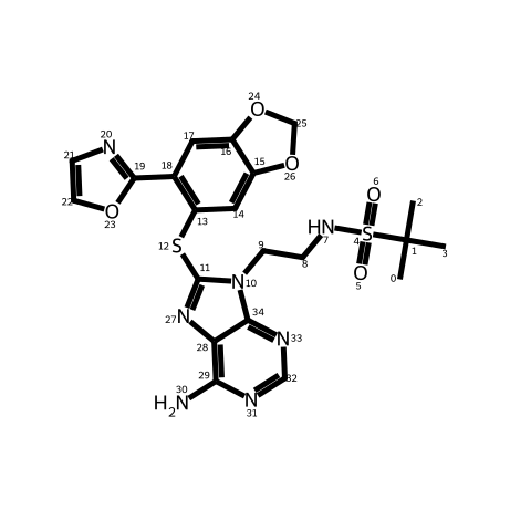 CC(C)(C)S(=O)(=O)NCCn1c(Sc2cc3c(cc2-c2ncco2)OCO3)nc2c(N)ncnc21